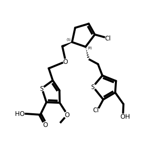 COc1cc(COC[C@H]2CC=C(Cl)[C@@H]2CCc2cc(CO)c(Cl)s2)sc1C(=O)O